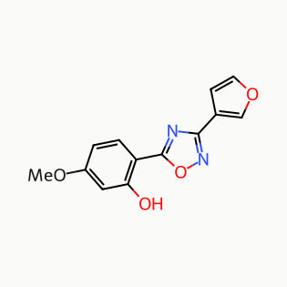 COc1ccc(-c2nc(-c3ccoc3)no2)c(O)c1